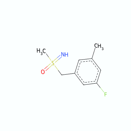 Cc1cc(F)cc(CS(C)(=N)=O)c1